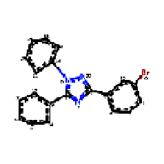 Brc1cccc(-c2nc(-c3ccccc3)n(-c3ccccc3)n2)c1